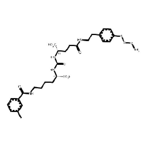 Cc1cccc(C(=O)NCCCC[C@H](NC(=O)N[C@@H](CCC(=O)NCCc2ccc(SOON)cc2)C(=O)O)C(=O)O)c1